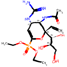 C=C[C@@]1([C@H](O)[C@H](O)CO)OC(P(=O)(OCC)OCC)=C[C@H](NC(=N)N)[C@H]1NC(C)=O